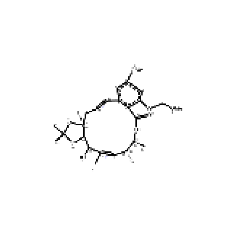 COCOc1cc(OC)cc2c1C(=O)O[C@@H](C)[C@H](C)/C=C(/F)C(O)C1OC(C)(C)O[C@H]1C/C=C/2